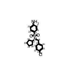 Nc1ccc(S(=O)(=O)N(Cc2ccc(Cl)cc2)C2CCCC2)cc1